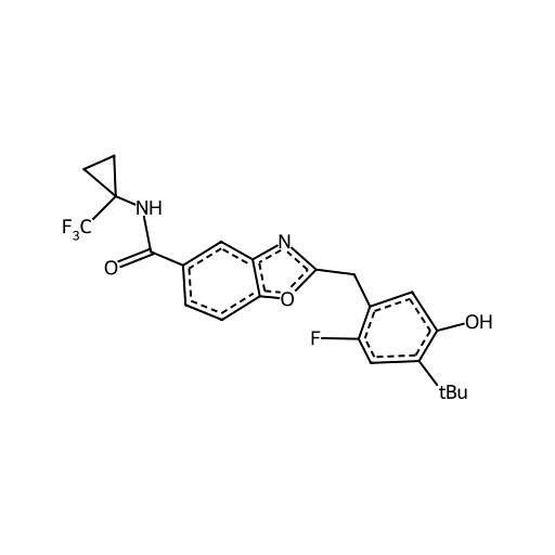 CC(C)(C)c1cc(F)c(Cc2nc3cc(C(=O)NC4(C(F)(F)F)CC4)ccc3o2)cc1O